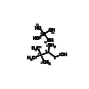 CC(C)(C)C(N)CO.O[Si](O)(O)O